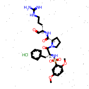 COc1ccc(OC)c(S(=O)(=O)N[C@H](Cc2ccccc2)C(=O)N2CCC[C@H]2C(=O)N[C@H](C=O)CCCNC(=N)N)c1.Cl